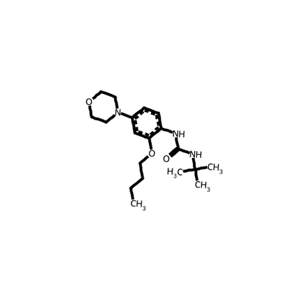 CCCCOc1cc(N2CCOCC2)ccc1NC(=O)NC(C)(C)C